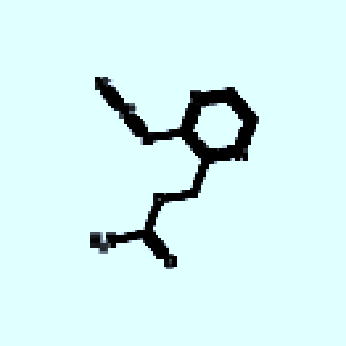 [N-]=[N+]=Nc1nccnc1COC(N)=O